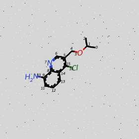 CC(C)OCc1cnc2c(N)cccc2c1Cl